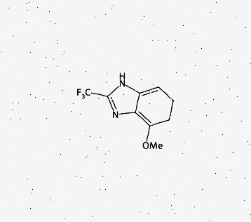 COC1=c2nc(C(F)(F)F)[nH]c2=CCC1